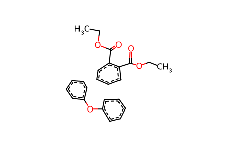 CCOC(=O)c1ccccc1C(=O)OCC.c1ccc(Oc2ccccc2)cc1